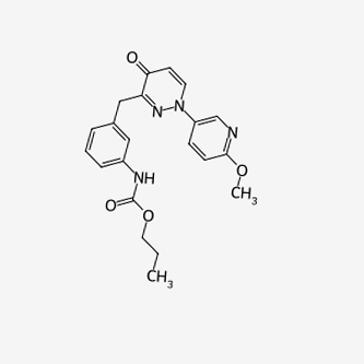 CCCOC(=O)Nc1cccc(Cc2nn(-c3ccc(OC)nc3)ccc2=O)c1